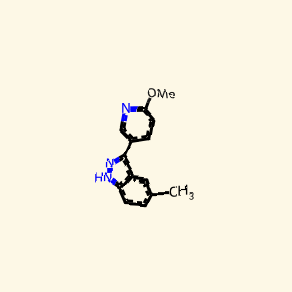 COc1ccc(-c2n[nH]c3ccc(C)cc23)cn1